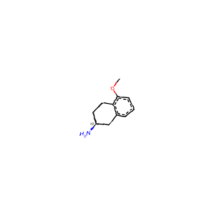 COc1cccc2c1CC[C@H](N)C2